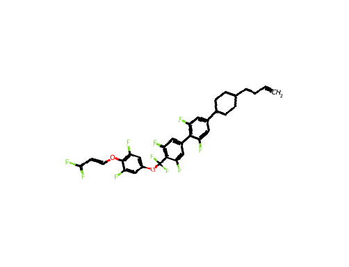 C=CCCC1CCC(c2cc(F)c(-c3cc(F)c(C(F)(F)Oc4cc(F)c(O/C=C/C(F)F)c(F)c4)c(F)c3)c(F)c2)CC1